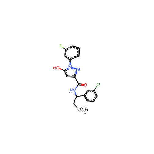 O=C(O)CC(NC(=O)c1cc(O)n(-c2cccc(F)c2)n1)c1cccc(Cl)c1